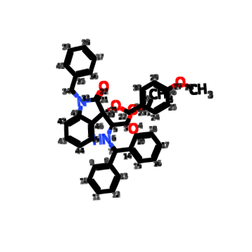 CCOC(=O)[C@@H](NC(c1ccccc1)c1ccccc1)[C@]1(OCc2ccc(OC)cc2)C(=O)N(Cc2ccccc2)c2ccccc21